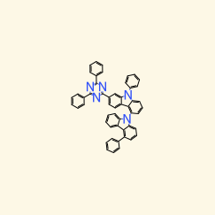 c1ccc(-c2nc(-c3ccccc3)nc(-c3ccc4c5c(-n6c7ccccc7c7c(-c8ccccc8)cccc76)cccc5n(-c5ccccc5)c4c3)n2)cc1